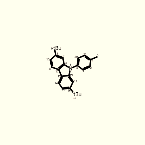 Cc1ccc(-n2c3cc(C(C)(C)C)ccc3c3ccc(C(C)(C)C)cc32)cc1